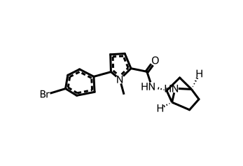 Cn1c(C(=O)N[C@@H]2C[C@H]3CC[C@@H]2N3)ccc1-c1ccc(Br)cc1